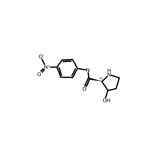 O=C([N]c1ccc([N+](=O)[O-])cc1)[C@H]1NCCC1O